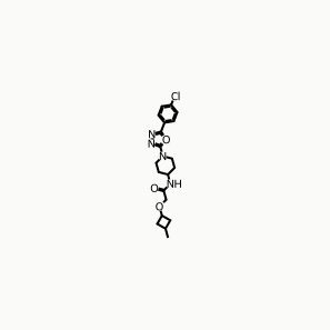 CC1CC(OCC(=O)NC2CCN(c3nnc(-c4ccc(Cl)cc4)o3)CC2)C1